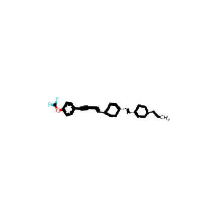 CCC[C@H]1CC[C@H](CC[C@H]2CC[C@H](C=CC#Cc3ccc(OC(F)F)cc3)CC2)CC1